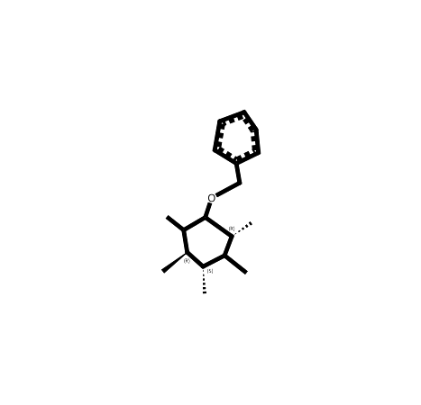 CC1C(OCc2ccccc2)[C@H](C)C(C)[C@H](C)[C@H]1C